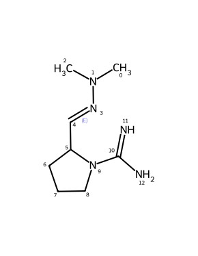 CN(C)/N=C/C1CCCN1C(=N)N